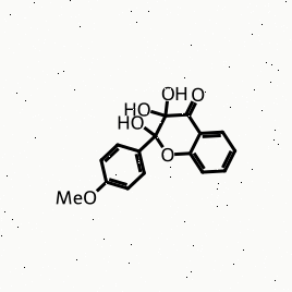 COc1ccc(C2(O)Oc3ccccc3C(=O)C2(O)O)cc1